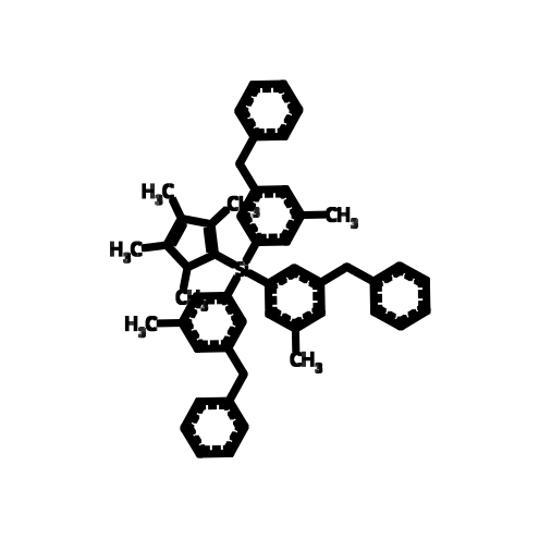 CC1=C(C)C(C)C([Si](c2cc(C)cc(Cc3ccccc3)c2)(c2cc(C)cc(Cc3ccccc3)c2)c2cc(C)cc(Cc3ccccc3)c2)=C1C